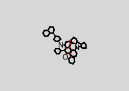 c1cc(-c2ccccc2-n2c3ccccc3c3ccccc32)cc(N(c2ccc(-c3cccc4ccccc34)cc2)c2ccccc2-c2cccc3c2oc2ccccc23)c1